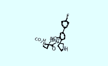 CC(C)(C)[C@@]1(C(=O)N[C@]2(c3ccc(-c4ccc(F)cc4)cc3C#N)CCNC2)CCN1C(=O)O